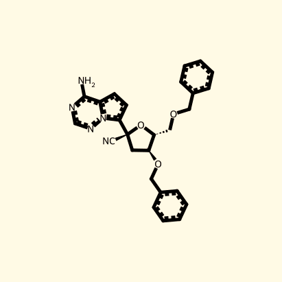 N#C[C@]1(c2ccc3c(N)ncnn23)C[C@H](OCc2ccccc2)[C@@H](COCc2ccccc2)O1